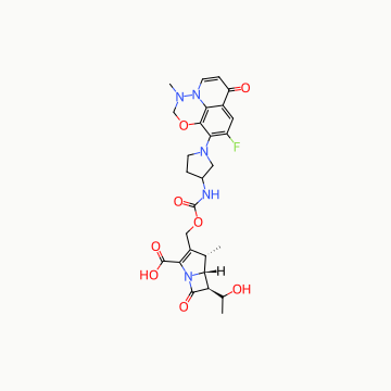 CC(O)[C@H]1C(=O)N2C(C(=O)O)=C(COC(=O)NC3CCN(c4c(F)cc5c(=O)ccn6c5c4OCN6C)C3)[C@H](C)[C@H]12